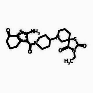 CCN1C(=O)SC2(CCCN(C3CCN(C(=O)c4c(N)sc5c4CCCC5=O)CC3)C2)C1=O